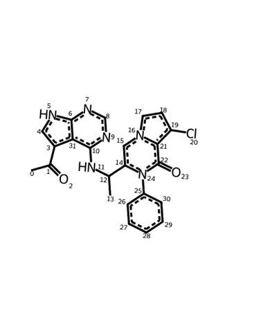 CC(=O)c1c[nH]c2ncnc(NC(C)c3cn4ccc(Cl)c4c(=O)n3-c3ccccc3)c12